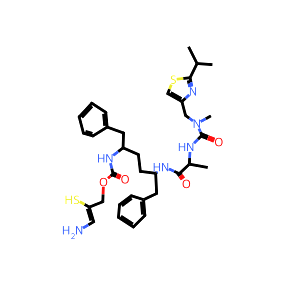 CC(NC(=O)N(C)Cc1csc(C(C)C)n1)C(=O)NC(CCC(Cc1ccccc1)NC(=O)OC/C(S)=C/N)Cc1ccccc1